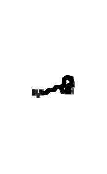 NCCCCc1c[nH]c2ncccc12